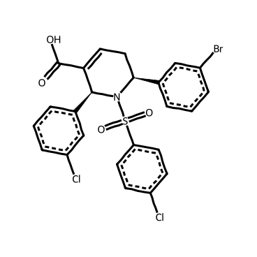 O=C(O)C1=CC[C@@H](c2cccc(Br)c2)N(S(=O)(=O)c2ccc(Cl)cc2)[C@H]1c1cccc(Cl)c1